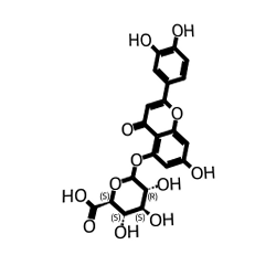 O=C(O)[C@H]1OC(Oc2cc(O)cc3oc(-c4ccc(O)c(O)c4)cc(=O)c23)[C@H](O)[C@@H](O)[C@@H]1O